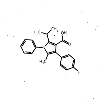 Cc1c(-c2ccc(F)cc2)c(C(=O)O)c(C(C)C)n1-c1ccccc1